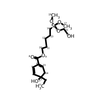 CCC1(O)C=CC(C(=O)OCCCCC[Si](OC)(OC)OCO)=CC1